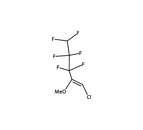 CO/C(=C\Cl)C(F)(F)C(F)(F)C(F)F